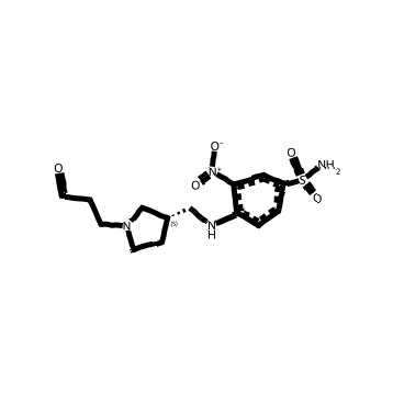 NS(=O)(=O)c1ccc(NC[C@@H]2CCN(CCC=O)C2)c([N+](=O)[O-])c1